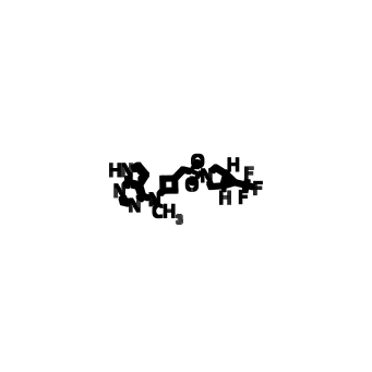 CN(c1ncnc2[nH]ccc12)C1CC(CS(=O)(=O)N2C[C@@H]3C(C(F)(F)F)[C@@H]3C2)C1